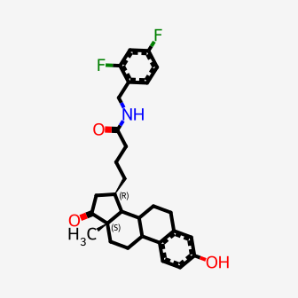 C[C@]12CCC3c4ccc(O)cc4CCC3C1[C@H](CCCC(=O)NCc1ccc(F)cc1F)CC2=O